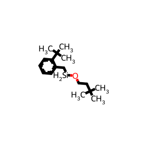 CC(C)(C)CCO[SiH2]Cc1ccccc1C(C)(C)C